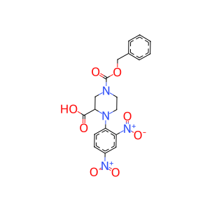 O=C(O)C1CN(C(=O)OCc2ccccc2)CCN1c1ccc([N+](=O)[O-])cc1[N+](=O)[O-]